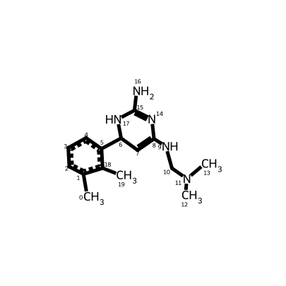 Cc1cccc(C2C=C(NCN(C)C)N=C(N)N2)c1C